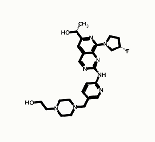 C[C@@H](O)c1cc2cnc(Nc3ccc(CN4CCN(CCO)CC4)cn3)nc2c(N2CC[C@H](F)C2)n1